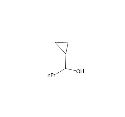 CCCC(O)C1CC1